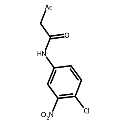 CC(=O)CC(=O)Nc1ccc(Cl)c([N+](=O)[O-])c1